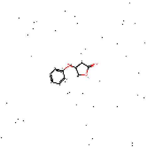 O=C1CC(Oc2ccccc2)CO1